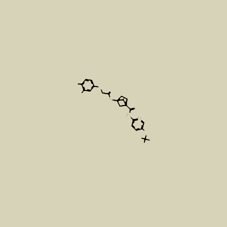 Cc1ccc(OCC(=O)NC23CCC(C(=O)Nc4ccc(OC(C)(C)F)cn4)(C2)C3)cc1F